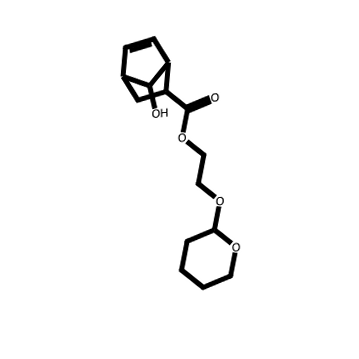 O=C(OCCOC1CCCCO1)C1CC2C=CC1C2O